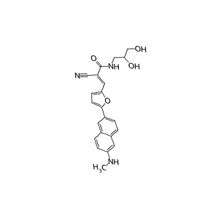 CNc1ccc2cc(-c3ccc(/C=C(\C#N)C(=O)NCC(O)CO)o3)ccc2c1